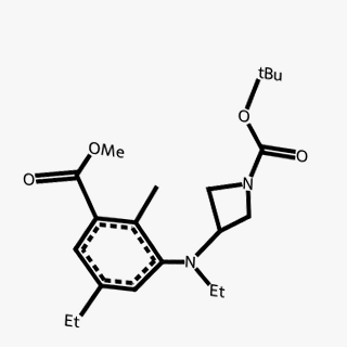 CCc1cc(C(=O)OC)c(C)c(N(CC)C2CN(C(=O)OC(C)(C)C)C2)c1